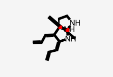 C=C/C=C1\C(=C/C=C)N[C@@]23CNCC(=C)[C@@]12CCN3